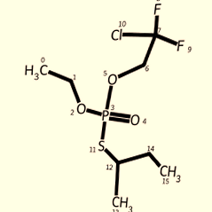 CCOP(=O)(OCC(F)(F)Cl)SC(C)CC